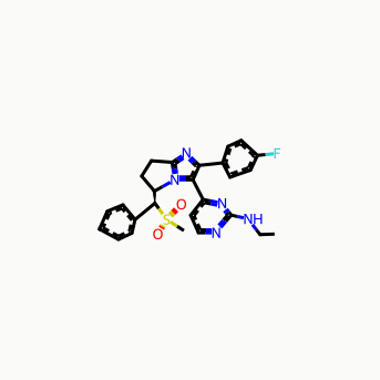 CCNc1nccc(-c2c(-c3ccc(F)cc3)nc3n2C([C@H](c2ccccc2)S(C)(=O)=O)CC3)n1